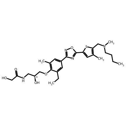 CCCCN(C)Cc1sc(-c2nc(-c3cc(C)c(OC[C@@H](O)CNC(=O)CO)c(CC)c3)no2)cc1C